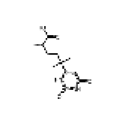 CC(CCC(C)(C)c1cc(=O)[nH]c(=O)[nH]1)C(=O)O